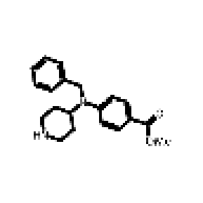 COC(=O)c1ccc(N(Cc2ccccc2)C2CCNCC2)cc1